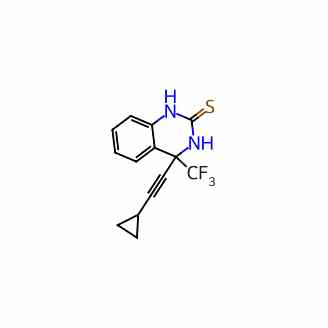 FC(F)(F)C1(C#CC2CC2)NC(=S)Nc2ccccc21